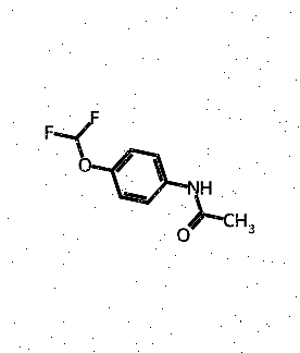 CC(=O)Nc1ccc(OC(F)F)cc1